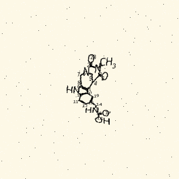 CN1C(=O)C2CN(Cc3[nH]c4ccc(CNC(=O)O)cc4c32)C1=O